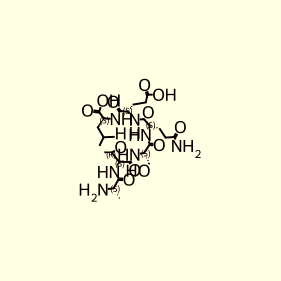 CC(C)C[C@H](NC(=O)[C@H](CCC(=O)O)NC(=O)[C@H](CCC(N)=O)NC(=O)[C@H](CO)NC(=O)[C@@H](NC(=O)[C@H](C)N)[C@@H](C)O)C(=O)O